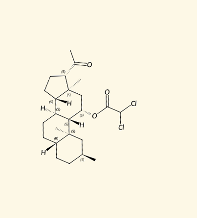 CC(=O)[C@H]1CC[C@H]2[C@@H]3CC[C@H]4CC[C@H](C)C[C@]4(C)[C@H]3[C@@H](OC(=O)C(Cl)Cl)C[C@]12C